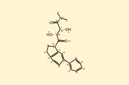 CN(C)C(=O)[C@H](O)[C@@H](O)C(=O)N1CCc2ccc(-c3ccccc3)cc21